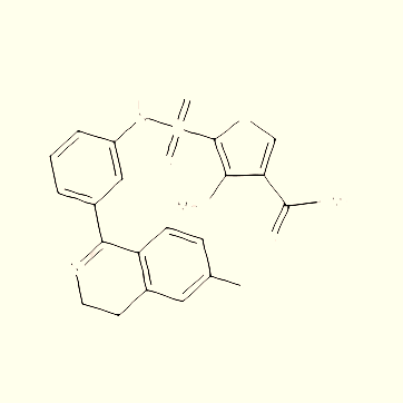 COC(=O)c1csc(S(=O)(=O)Nc2cccc(C3=NCCc4cc(Cl)ccc43)c2)c1OC